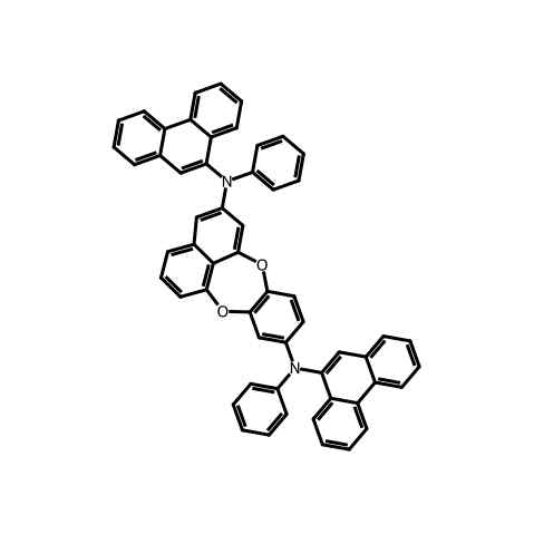 c1ccc(N(c2ccc3c(c2)Oc2cccc4cc(N(c5ccccc5)c5cc6ccccc6c6ccccc56)cc(c24)O3)c2cc3ccccc3c3ccccc23)cc1